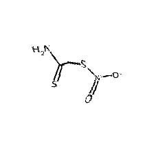 NC(=S)S[N+](=O)[O-]